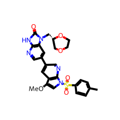 COc1cn(S(=O)(=O)c2ccc(C)cc2)c2ncc(-c3cnc4[nH]c(=O)n(C[C@H]5COCCO5)c4c3)cc12